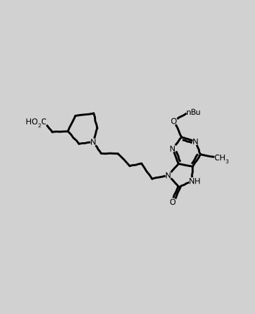 CCCCOc1nc(C)c2[nH]c(=O)n(CCCCCN3CCCC(CC(=O)O)C3)c2n1